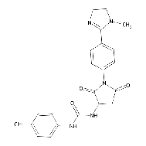 CN1CCN=C1c1ccc(N2C(=O)CC(NC(=O)Nc3ccc(Cl)cc3)C2=O)cc1